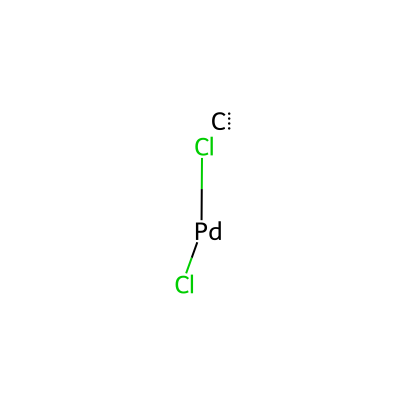 [C].[Cl][Pd][Cl]